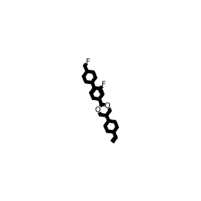 C=CC1CCC(C2COC(C3C=C(F)C(C4CCC(CF)CC4)=CC3)OC2)CC1